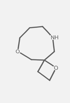 C1CNCC2(CCO2)COC1